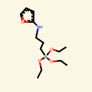 CCO[Si](CCCNc1ccco1)(OCC)OCC